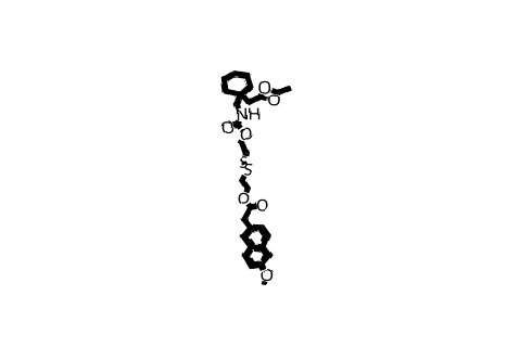 COc1ccc2cc(CC(=O)OCCSSCCOC(=O)NCC3(CC4OC(C)O4)CCCCC3)ccc2c1